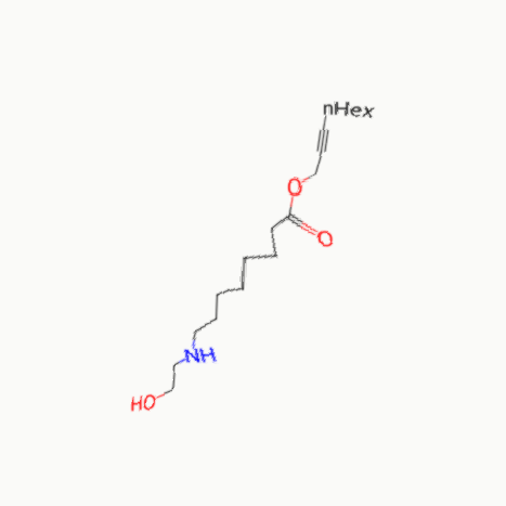 CCCCCCC#CCOC(=O)CCCCCCCNCCO